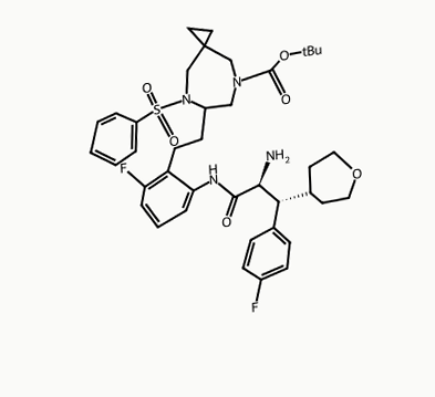 CC(C)(C)OC(=O)N1CC(CCc2c(F)cccc2NC(=O)[C@@H](N)[C@@H](c2ccc(F)cc2)C2CCOCC2)N(S(=O)(=O)c2ccccc2)CC2(CC2)C1